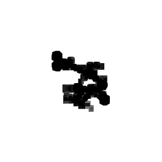 CCNC(=O)/N=C(/N)NCCC[C@@H](NC(=O)[C@H](c1cccc(NCCCNC(=O)[C@@H](CCCCNC(=O)OCC2c3ccccc3-c3ccccc32)NC(=O)OC(C)(C)C)c1)N1Cc2ccccc2C1)C(=O)NCc1c(F)cc(O)cc1F